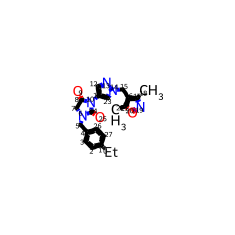 CCc1ccc(CN2CC(=O)N(c3cnn(Cc4c(C)noc4C)c3)C2=O)cc1